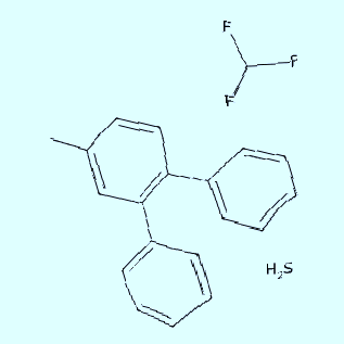 Cc1ccc(-c2ccccc2)c(-c2ccccc2)c1.FC(F)F.S